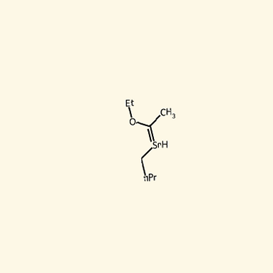 CCC[CH2][SnH]=[C](C)OCC